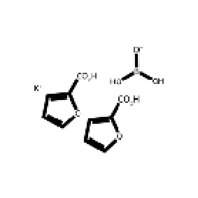 O=C(O)c1ccco1.O=C(O)c1ccco1.[K+].[O-]B(O)O